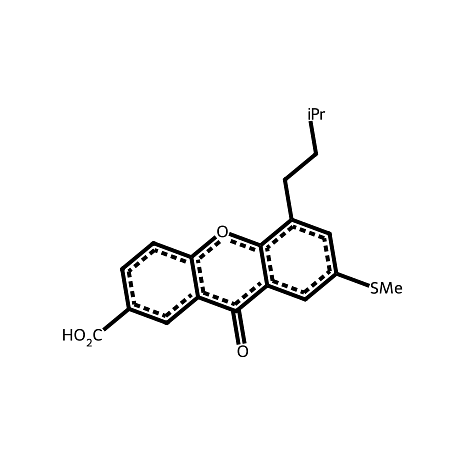 CSc1cc(CCC(C)C)c2oc3ccc(C(=O)O)cc3c(=O)c2c1